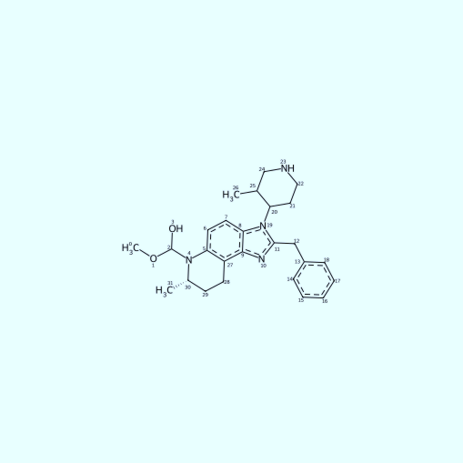 COC(O)N1c2ccc3c(nc(Cc4ccccc4)n3C3CCNCC3C)c2CC[C@@H]1C